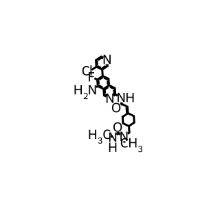 CNC(=O)N(C)CC1CCC(=CC(=O)Nc2cc3cc(-c4cnccc4Cl)c(F)c(N)c3cn2)CC1